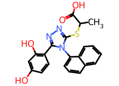 CC(Sc1nnc(-c2ccc(O)cc2O)n1-c1cccc2ccccc12)C(=O)O